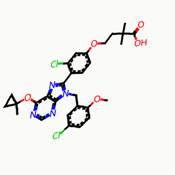 COc1ccc(Cl)cc1Cn1c(-c2ccc(OCCC(C)(C)C(=O)O)cc2Cl)nc2c(OC3(C)CC3)ncnc21